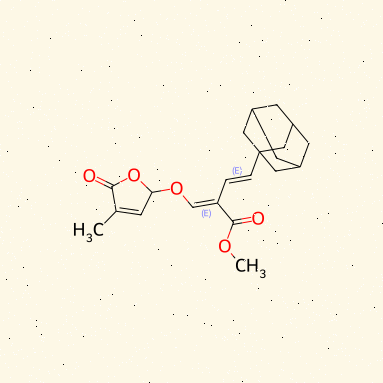 COC(=O)C(/C=C/C12CC3CC(CC(C3)C1)C2)=C/OC1C=C(C)C(=O)O1